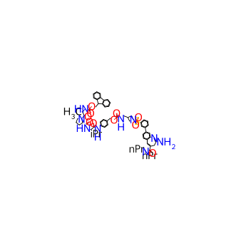 CCCN(CCC)C(=O)C1=Cc2ccc(-c3cccc(S(=O)(=O)N4CC(CNC(=O)OCc5ccc(NC(=O)C(NC(=O)[C@@H]6CCCN6C(=O)C(C)NC(=O)OCC6c7ccccc7-c7ccccc76)C(C)C)cc5)C4)c3)cc2N=C(N)C1